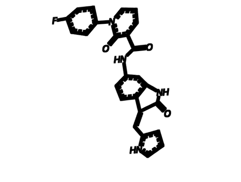 O=C1Nc2cc(NC(=O)c3cccn(-c4ccc(F)cc4)c3=O)ccc2C1=Cc1ccc[nH]1